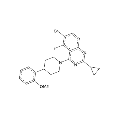 COc1ccccc1C1CCN(c2nc(C3CC3)nc3ccc(Br)c(F)c23)CC1